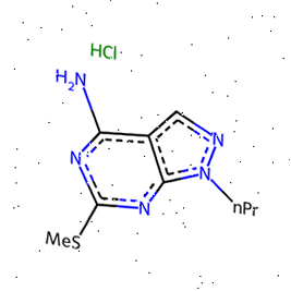 CCCn1ncc2c(N)nc(SC)nc21.Cl